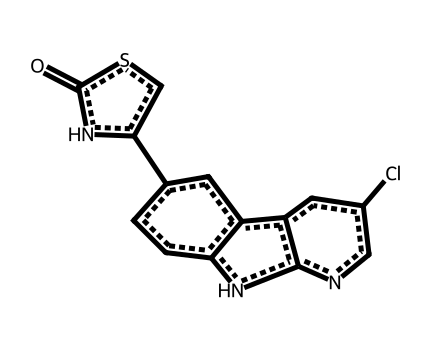 O=c1[nH]c(-c2ccc3[nH]c4ncc(Cl)cc4c3c2)cs1